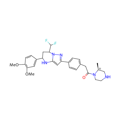 COc1ccc(C2CC(C(F)F)n3nc(-c4ccc(CC(=O)N5CCNC[C@@H]5C)cc4)cc3N2)cc1OC